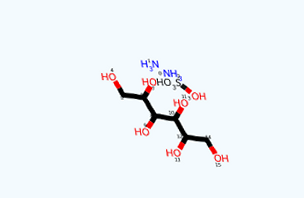 N.N.O=S(=O)(O)O.OCC(O)C(O)C(O)C(O)CO